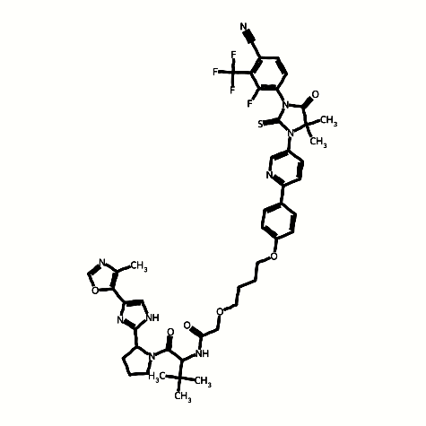 Cc1ncoc1-c1c[nH]c(C2CCCN2C(=O)C(NC(=O)COCCCCOc2ccc(-c3ccc(N4C(=S)N(c5ccc(C#N)c(C(F)(F)F)c5F)C(=O)C4(C)C)cn3)cc2)C(C)(C)C)n1